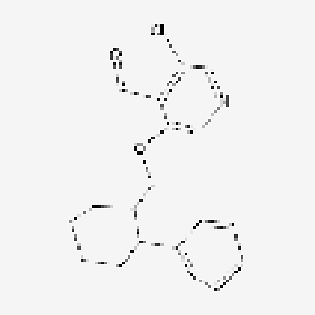 O=Cc1c(Cl)cncc1OCC1CCCCC1c1ccccc1